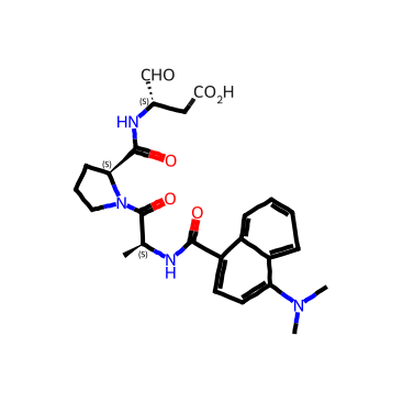 C[C@H](NC(=O)c1ccc(N(C)C)c2ccccc12)C(=O)N1CCC[C@H]1C(=O)N[C@H](C=O)CC(=O)O